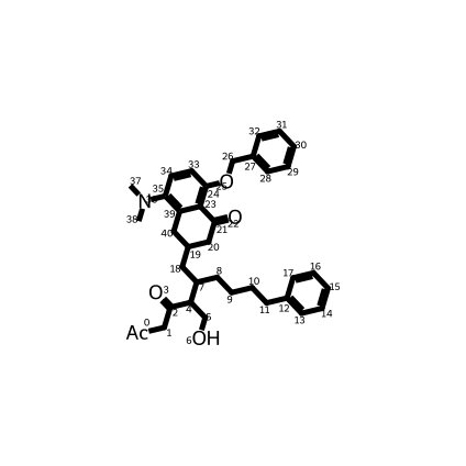 CC(=O)CC(=O)C(CO)C(CCCCc1ccccc1)CC1CC(=O)c2c(OCc3ccccc3)ccc(N(C)C)c2C1